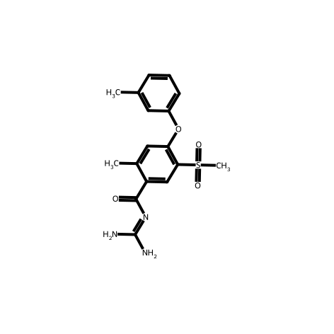 Cc1cccc(Oc2cc(C)c(C(=O)N=C(N)N)cc2S(C)(=O)=O)c1